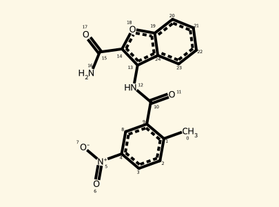 Cc1ccc([N+](=O)[O-])cc1C(=O)Nc1c(C(N)=O)oc2ccccc12